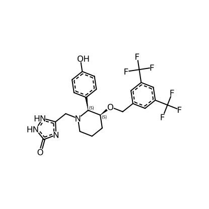 O=c1nc(CN2CCC[C@H](OCc3cc(C(F)(F)F)cc(C(F)(F)F)c3)[C@@H]2c2ccc(O)cc2)[nH][nH]1